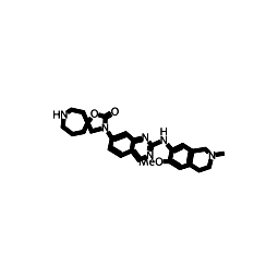 COc1cc2c(cc1Nc1ncc3ccc(N4CC5(CCCNCC5)OC4=O)cc3n1)CN(C)CC2